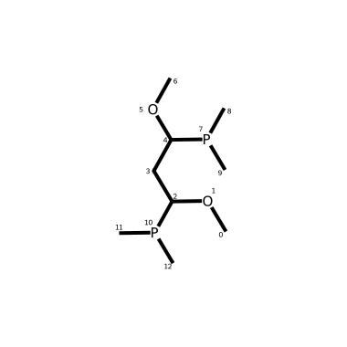 COC(CC(OC)P(C)C)P(C)C